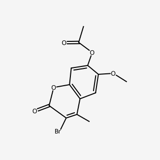 COc1cc2c(C)c(Br)c(=O)oc2cc1OC(C)=O